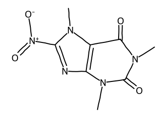 Cn1c(=O)c2c(nc([N+](=O)[O-])n2C)n(C)c1=O